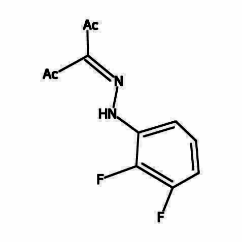 CC(=O)C(=NNc1cccc(F)c1F)C(C)=O